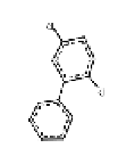 Clc1ccc(Cl)c(-c2cc[c]cc2)c1